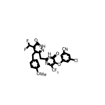 COc1ccc(Cc2c(Cc3nc(C(F)(F)F)c(Oc4cc(Cl)cc(C#N)c4)c(=O)[nH]3)n[nH]c(=O)c2C(F)F)cc1